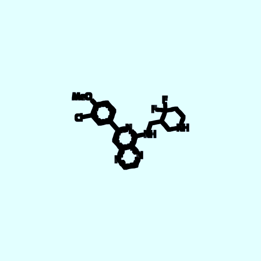 COc1ccc(-c2cc3nccnc3c(NCC3CNCCC3(F)F)n2)cc1Cl